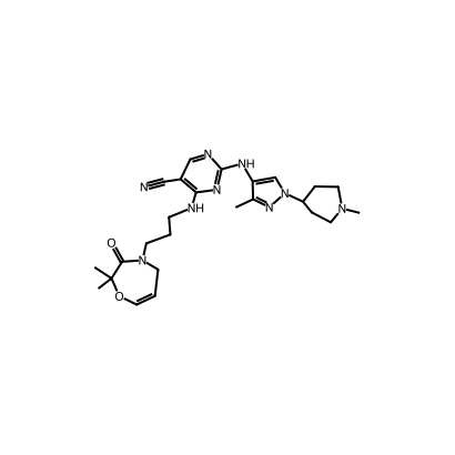 Cc1nn(C2CCN(C)CC2)cc1Nc1ncc(C#N)c(NCCCN2CC=COC(C)(C)C2=O)n1